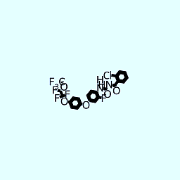 O=C(NC(=O)c1ccccc1Cl)Nc1ccc(Oc2ccc(OC(F)(F)C(F)OC(F)(F)F)cc2)cc1F